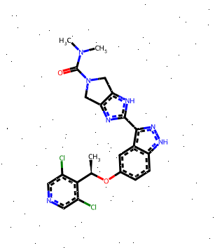 C[C@@H](Oc1ccc2[nH]nc(-c3nc4c([nH]3)CN(C(=O)N(C)C)C4)c2c1)c1c(Cl)cncc1Cl